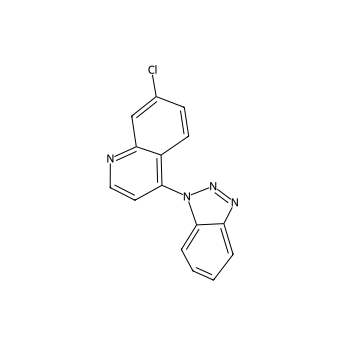 Clc1ccc2c(-n3nnc4ccccc43)ccnc2c1